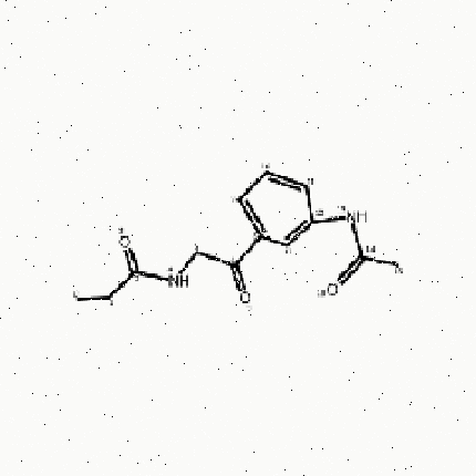 CCC(=O)NCC(=O)c1cccc(NC(C)=O)c1